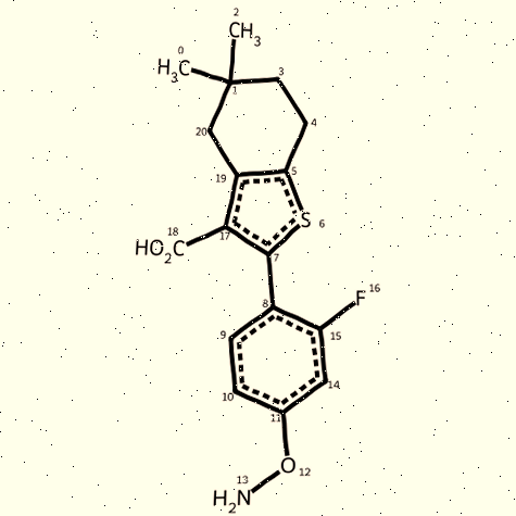 CC1(C)CCc2sc(-c3ccc(ON)cc3F)c(C(=O)O)c2C1